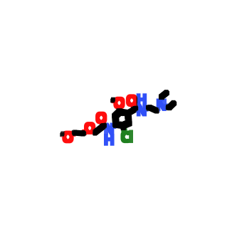 CCN(CC)CCNC(=O)c1cc(Cl)c(NC(=O)COCCOC)cc1OC